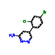 Nc1cc(-c2ccc(Br)cc2Cl)cnn1